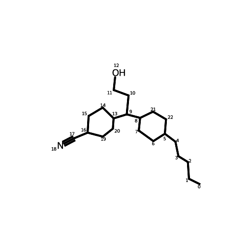 CCCCCC1CCC(C(CCO)C2CCC(C#N)CC2)CC1